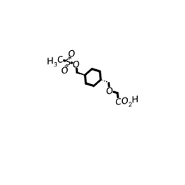 CS(=O)(=O)OC[C@H]1CC[C@H](COCC(=O)O)CC1